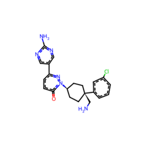 NC[C@]1(c2cccc(Cl)c2)CC[C@H](n2nc(-c3cnc(N)nc3)ccc2=O)CC1